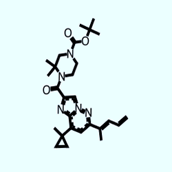 C=C/C=C(\C)c1cc(C2(C)CC2)c2nc(C(=O)N3CCN(C(=O)OC(C)(C)C)CC3(C)C)cn2n1